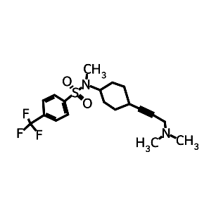 CN(C)CC#CC1CCC(N(C)S(=O)(=O)c2ccc(C(F)(F)F)cc2)CC1